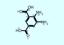 Nc1cc(C(=O)O)cc(C(=O)O)c1N